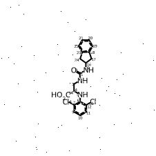 O=C(NC[C@H](Nc1c(Cl)cccc1Cl)C(=O)O)NC1Cc2ccccc2C1